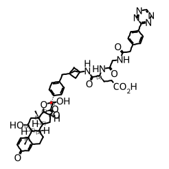 C[C@]12C=CC(=O)C=C1CC[C@@H]1[C@@H]2[C@@H](O)C[C@@]2(C)[C@H]1C[C@H]1O[C@@H](c3ccc(CC45CC(NC(=O)[C@H](CCC(=O)O)NC(=O)CNC(=O)Cc6ccc(-c7nncnn7)cc6)(C4)C5)cc3)O[C@]12C(=O)CO